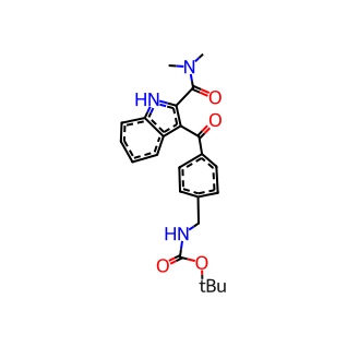 CN(C)C(=O)c1[nH]c2ccccc2c1C(=O)c1ccc(CNC(=O)OC(C)(C)C)cc1